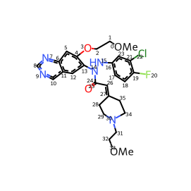 COCCOc1cc2ncncc2cc1N(Nc1ccc(F)c(Cl)c1)C(=O)C=C1CCN(CCOC)CC1